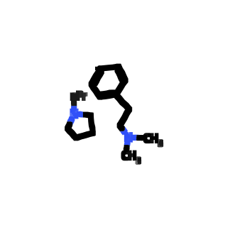 CN(C)CCc1cc[c]cc1.[CH2]CCN1CCCC1